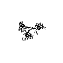 CCOc1ccc([SiH2]CCCN(CCC[SiH2]c2ccc(OCC)c(OCC)c2OCC)CCC[SiH2]c2ccc(OCC)c(OCC)c2OCC)c(OCC)c1OCC